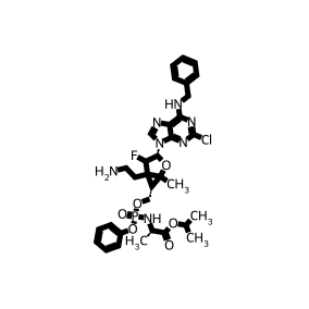 CC(C)OC(=O)[C@H](C)NP(=O)(OC[C@H]1C2(C)O[C@@H](n3cnc4c(NCc5ccccc5)nc(Cl)nc43)C(F)C12CCN)Oc1ccccc1